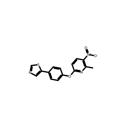 Cc1nc(Oc2ccc(-c3cncs3)cc2)ccc1[N+](=O)[O-]